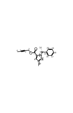 CC#CCOC(=O)c1cc(F)nn1[C@H](C)c1ccccc1